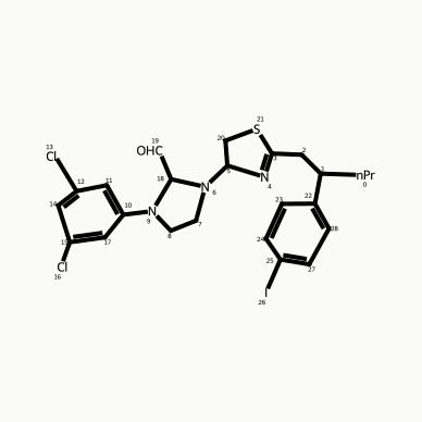 CCCC(CC1=NC(N2CCN(c3cc(Cl)cc(Cl)c3)C2C=O)CS1)c1ccc(I)cc1